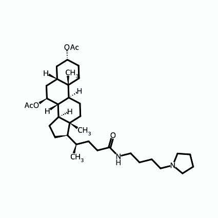 CC(=O)O[C@@H]1CC[C@@]2(C)[C@@H](C1)C[C@H](OC(C)=O)[C@@H]1[C@@H]2CC[C@]2(C)[C@@H]([C@H](C)CCC(=O)NCCCCN3CCCC3)CC[C@@H]12